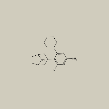 Nc1nc(N)c(C2CC3CCC(C2)N3)c(C2CCCCC2)n1